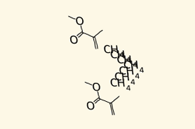 C.C.C.C.C.C.C.C=C(C)C(=O)OC.C=C(C)C(=O)OC